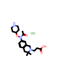 CC(=O)N(OC1CCNCC1)c1ccc2c(c1)CN(CCC(=O)O)C(C)(C)C2.Cl